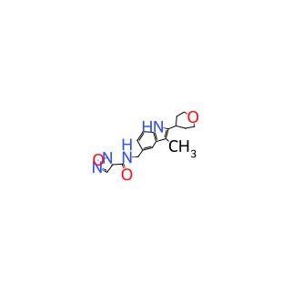 Cc1c(C2CCOCC2)[nH]c2ccc(CNC(=O)c3cnon3)cc12